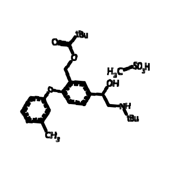 CS(=O)(=O)O.Cc1cccc(Oc2ccc(C(O)CNC(C)(C)C)cc2COC(=O)C(C)(C)C)c1